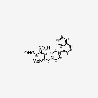 CNC(CN1CCN(c2cccc3ccccc23)CC1)CN(CC=O)C(=O)O